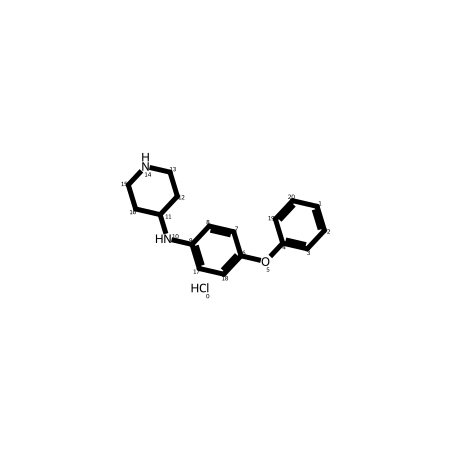 Cl.c1ccc(Oc2ccc(NC3CCNCC3)cc2)cc1